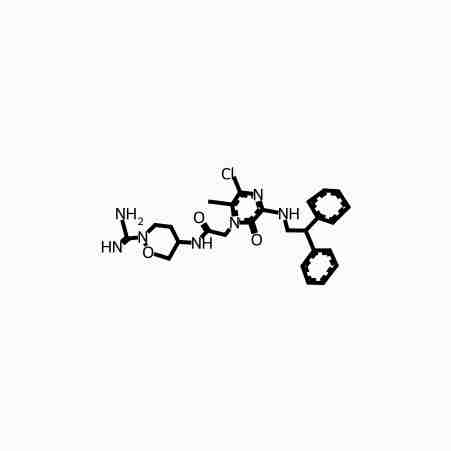 Cc1c(Cl)nc(NCC(c2ccccc2)c2ccccc2)c(=O)n1CC(=O)NC1CCN(C(=N)N)OC1